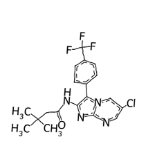 CC(C)(C)CC(=O)Nc1nc2ncc(Cl)cn2c1-c1ccc(C(F)(F)F)cc1